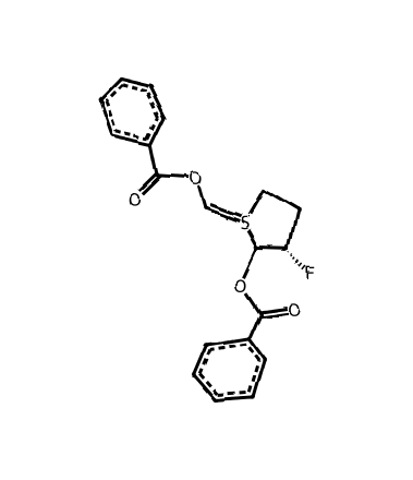 O=C(OC=S1CC[C@H](F)C1OC(=O)c1ccccc1)c1ccccc1